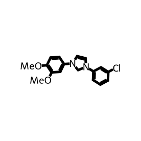 COc1ccc(N2C=CN(c3cccc(Cl)c3)C2)cc1OC